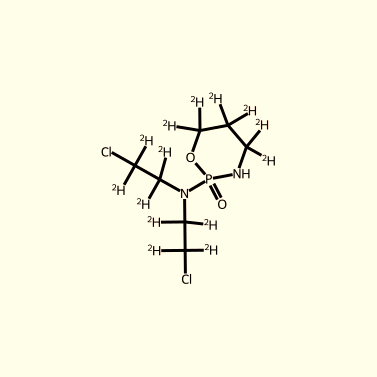 [2H]C([2H])(Cl)C([2H])([2H])N(C([2H])([2H])C([2H])([2H])Cl)P1(=O)NC([2H])([2H])C([2H])([2H])C([2H])([2H])O1